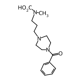 CN(CCCN1CCN(C(=O)c2ccccc2)CC1)C(=O)O